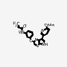 C=CC(=O)Nc1cccc(Oc2cnc3[nH]cc(-c4ccc(OC)nc4)c3n2)c1